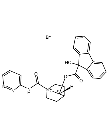 O=C(O[C@H]1C[N+]2(C(=O)Nc3cccnn3)CCC1CC2)C1(O)c2ccccc2-c2ccccc21.[Br-]